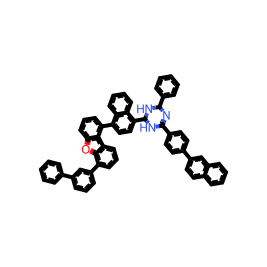 c1ccc(-c2cccc(-c3cccc4c3oc3cccc(-c5ccc(C6NC(c7ccc(-c8ccc9ccccc9c8)cc7)=NC(c7ccccc7)N6)c6ccccc56)c34)c2)cc1